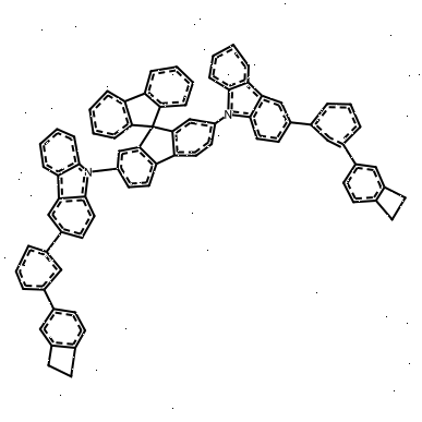 c1cc(-c2ccc3c(c2)CC3)cc(-c2ccc3c(c2)c2ccccc2n3-c2ccc3c(c2)C2(c4ccccc4-c4ccccc42)c2cc(-n4c5ccccc5c5cc(-c6cccc(-c7ccc8c(c7)CC8)c6)ccc54)ccc2-3)c1